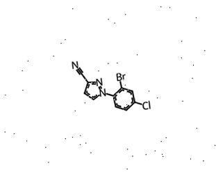 N#Cc1ccn(-c2ccc(Cl)cc2Br)n1